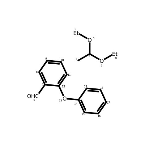 CCOC(C)OCC.O=Cc1ccccc1Oc1ccccc1